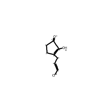 O=C1CCC(CC=CCl)=C1O